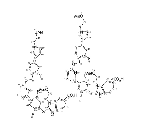 COCCn1cc(-c2ccc(COc3cccc(-c4cc(F)c(Cc5nc6ccc(C(=O)O)cc6n5CCOC)cc4F)n3)c(F)c2)cn1.COCCn1cc(-c2ccc(COc3cccc(-c4cc(F)c(Cc5nc6ccc(C(=O)O)cc6n5CCOC)cc4F)n3)c(F)c2)cn1